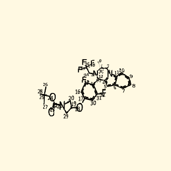 C[C@@H]1Cn2c(cc3ccccc32)[C@@H](c2c(F)cc(OC3CN(C(=O)OC(C)(C)C)C3)cc2F)N1CC(F)(F)F